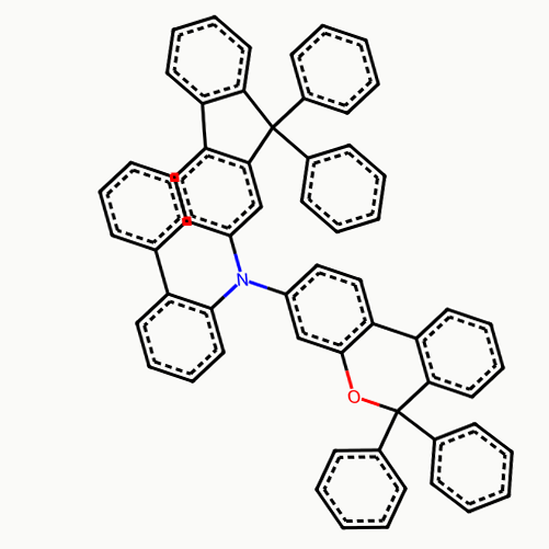 c1ccc(-c2ccccc2N(c2ccc3c(c2)OC(c2ccccc2)(c2ccccc2)c2ccccc2-3)c2ccc3c(c2)C(c2ccccc2)(c2ccccc2)c2ccccc2-3)cc1